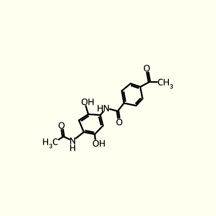 CC(=O)Nc1cc(O)c(NC(=O)c2ccc(C(C)=O)cc2)cc1O